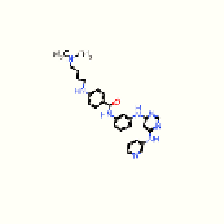 CN(C)C/C=C/CNc1ccc(C(=O)Nc2cccc(Nc3cc(Nc4cccnc4)ncn3)c2)cc1